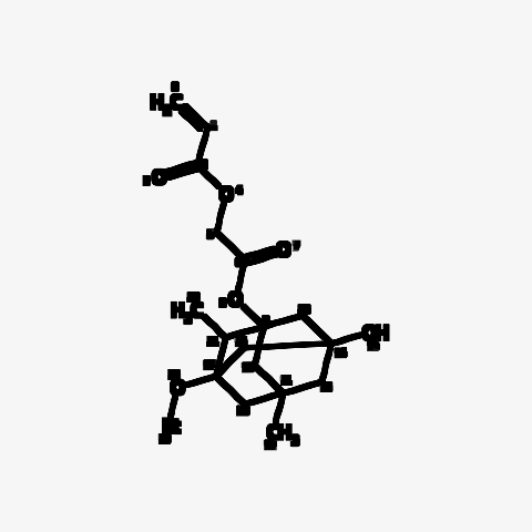 C=CC(=O)OCC(=O)OC12CC3(C)CC(O)(CC(OCC)(C3)C1C)C2